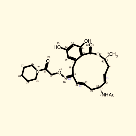 CC(=O)N[C@H]1/C=C/C[C@@H](C)OC(=O)c2c(O)cc(O)cc2CC(=N\OCC(=O)N2CCCCC2)/C=C/C1